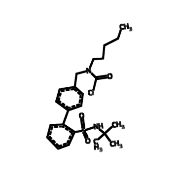 CCCCCN(Cc1ccc(-c2ccccc2S(=O)(=O)NC(C)(C)C)cc1)C(=O)Cl